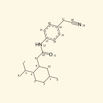 CC1CCC(C(C)C)C(CC(=O)Nc2ccc(CC#N)cc2)C1